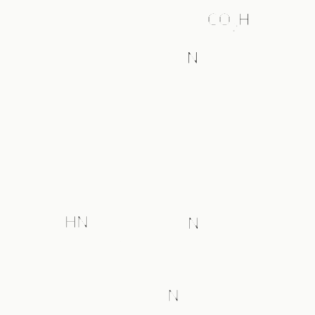 O=C(O)N1CCC(c2c[nH]c3cncnc23)CC1